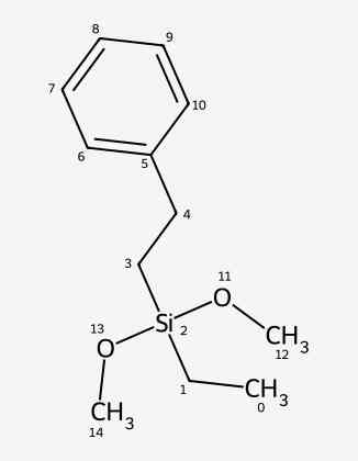 CC[Si](CCc1ccccc1)(OC)OC